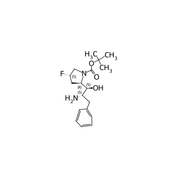 CC(C)(C)OC(=O)N1C[C@@H](F)C[C@@H]1[C@@H](O)[C@@H](N)Cc1ccccc1